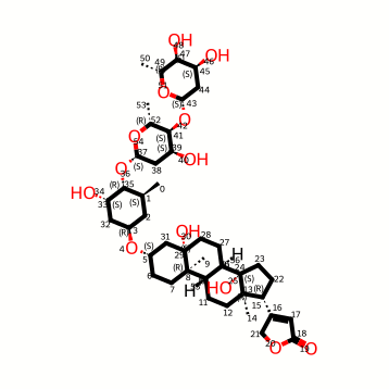 C[C@H]1C[C@@H](O[C@H]2CC[C@]3(C)[C@H]4CC[C@]5(C)[C@@H](C6=CC(=O)OC6)CC[C@]5(O)[C@@H]4CC[C@]3(O)C2)C[C@H](O)[C@@H]1O[C@H]1C[C@H](O)[C@H](O[C@H]2C[C@H](O)[C@H](O)[C@@H](C)O2)[C@@H](C)O1